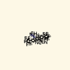 C/N=C\C(C#N)=C1/c2cc(-c3c(F)c(F)c(F)c(F)c3F)ccc2-c2cc3c(cc21)-c1ccc(-c2c(F)c(F)c(F)c(F)c2F)cc1C3=C(C#N)C#N